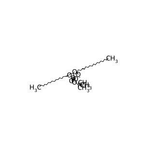 CCCCCCCCCCCCC/C=C/CCC(=O)O[C@H](CO/C=C/CCCCCCCCCCCCCC)COP(=O)([O-])OCC[N+](C)(C)C